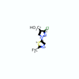 O=C(O)c1cn(-c2cnc(C(F)(F)F)s2)nc1Cl